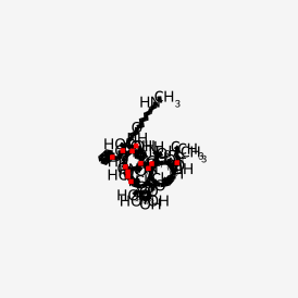 CCNCCCCCCCOCCNCc1c(O)cc2c(c1O)-c1cc(ccc1O)[C@H]1CC(=O)[C@@H]3NC(=O)[C@H](CC(N)=O)CC(=O)[C@H](NC(=O)[C@H](CC)CC(C)C)[C@H](O)c4ccc(c(Cl)c4)Oc4cc3cc(c4O[C@@H]3O[C@H](CO)[C@@H](O)[C@H](O)[C@H]3O)Oc3ccc(cc3Cl)[C@@H](O)[C@H](NC1=O)C(=O)N[C@@H]2C(=O)CC1C2CC3CC(C2)CC1C3